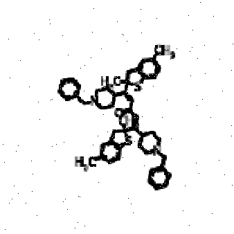 Cc1ccc2c(c1)CC(C)(C(=CC(=O)C=C(C1CCN(Cc3ccccc3)CC1)C1(C)Cc3cc(C)ccc3S1)C1CCN(Cc3ccccc3)CC1)S2